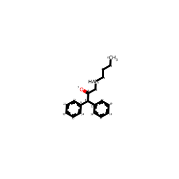 CCC[CH2][AlH][CH2]C(=O)C(c1ccccc1)c1ccccc1